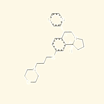 c1cnc([C@@H]2CN3CCC[C@H]3c3cc(OCCCN4CCOCC4)ccc32)cn1